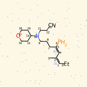 CC/C=C(C)\C=C(\P)CCCN(CCC#N)C1CCOCC1